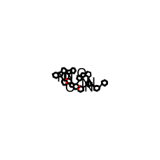 C1=c2oc3ccc(-c4cccc5oc6ccc(-n7c8ccccc8c8ccc9c%10ccccc%10n(-c%10ccccc%10)c9c87)cc6c45)cc3c2=C(c2nc(-c3ccccc3)nc(-c3cccc(-c4ccccc4)c3)n2)CC1